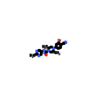 Cc1ncc(NC(=O)N2C[C@H](C)N(c3ccc(C#N)c(Br)c3)C[C@H]2C)cn1